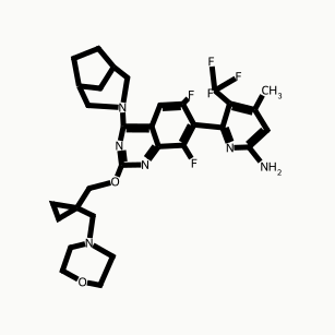 Cc1cc(N)nc(-c2c(F)cc3c(N4CC5CCC(C5)C4)nc(OCC4(CN5CCOCC5)CC4)nc3c2F)c1C(F)(F)F